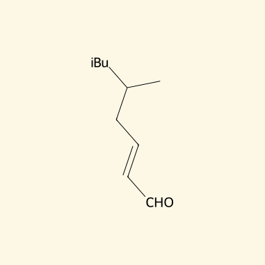 CCC(C)C(C)C/C=C/C=O